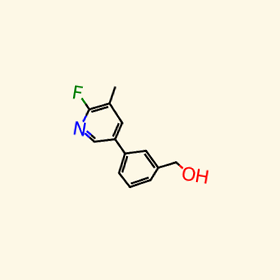 Cc1cc(-c2cccc(CO)c2)cnc1F